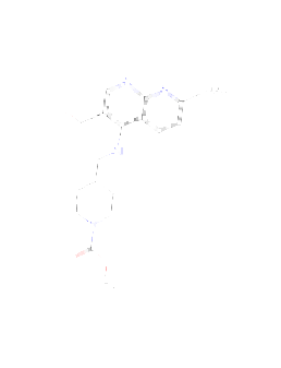 COc1ccc2c(NCC3CCN(C(=O)OC(C)(C)C)CC3)c(CO)cnc2n1